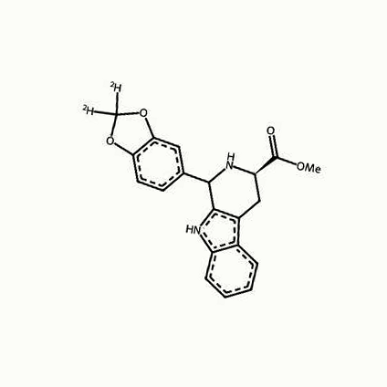 [2H]C1([2H])Oc2ccc(C3N[C@@H](C(=O)OC)Cc4c3[nH]c3ccccc43)cc2O1